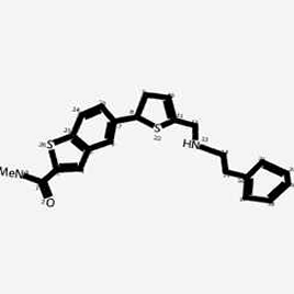 CNC(=O)c1cc2cc(C3CC=C(CNCCc4ccccc4)S3)ccc2s1